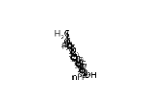 C=CCCOc1ccc(OCC2CCC(c3ccc(C4CCC(C(O)CCC)CC4)c(F)c3F)CC2)cc1F